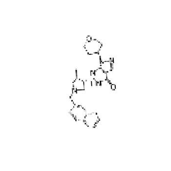 C[C@@H]1CN(Cc2cnc3ccccc3c2)C[C@H]1c1nc2c(cnn2C2CCOCC2)c(=O)[nH]1